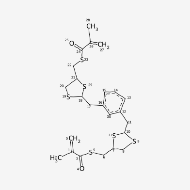 C=C(C)C(=O)SCC1CSC(Cc2cccc(CC3SCC(CSC(=O)C(=C)C)S3)c2)S1